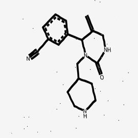 C=C1CNC(=O)N(CC2CCNCC2)C1c1cccc(C#N)c1